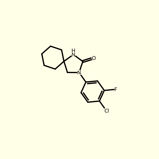 O=C1NC2(CCCCC2)CN1c1ccc(Cl)c(F)c1